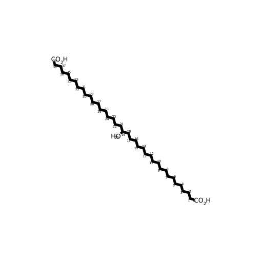 O=C(O)CCCCCCCCCCCCCCCCCCC(O)CCCCCCCCCCCCCCCCCCC(=O)O